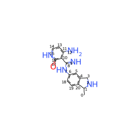 CC1NCc2cc(NC(=N)c3c(N)cc[nH]c3=O)ccc21